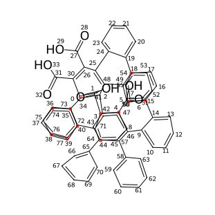 O=C(O)c1c(C(=O)O)c(-c2ccccc2-c2ccc(-c3ccccc3-c3c(C(=O)O)c(C(=O)O)c(-c4ccccc4)c(-c4ccccc4)c3-c3ccccc3)cc2)c(-c2ccccc2)c(-c2ccccc2)c1-c1ccccc1